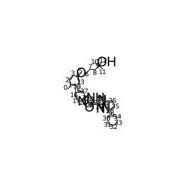 Cc1ccc(OCCCC(C)(C)O)cc1-c1ccnc(NC(=O)c2nc3n(n2)C(C2CCCCC2)CC3)c1